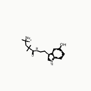 CC(C)(N)CC(C)(C)C(=O)NCCc1c[nH]c2ccc(O)cc12